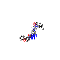 CC(=O)N(C)[C@H]1CCN(c2ccc(NC(=O)Nc3ccc(Oc4ccccc4)cc3)cc2)C1